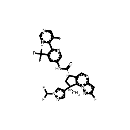 C[C@]1(c2cnn(C(F)F)c2)C[C@H](C(=O)Nc2cnc(-c3ncncc3F)c(C(F)(F)F)c2)c2cnc3cc(F)nn3c21